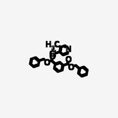 Cc1cnccc1Cl.O=C(OCc1ccccc1)c1cccc(C(=O)OCc2ccccc2)c1